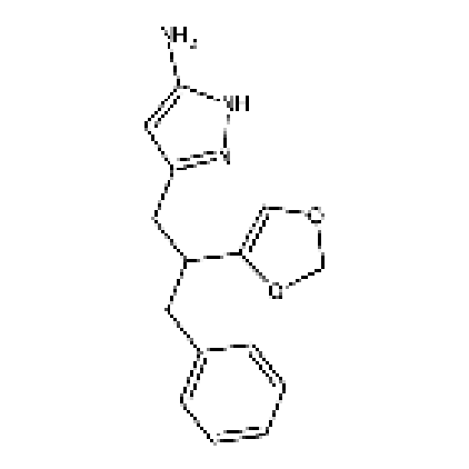 Nc1cc(CC(Cc2ccccc2)C2=COCO2)n[nH]1